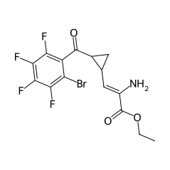 CCOC(=O)C(N)=CC1CC1C(=O)c1c(F)c(F)c(F)c(F)c1Br